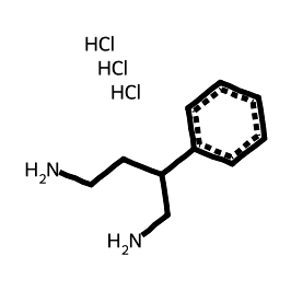 Cl.Cl.Cl.NCCC(CN)c1ccccc1